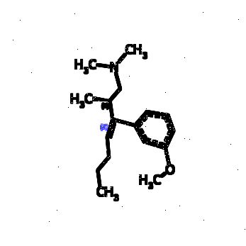 CCC/C=C(\c1cccc(OC)c1)[C@@H](C)CN(C)C